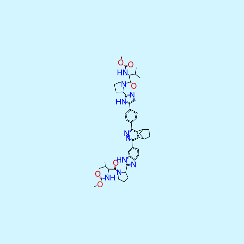 COC(=O)NC(C(=O)N1CCCC1c1ncc(-c2ccc(-c3nnc(-c4ccc5nc(C6CCCN6C(=O)C(NC(=O)OC)C(C)C)[nH]c5c4)c4c3C3CCC4C3)cc2)[nH]1)C(C)C